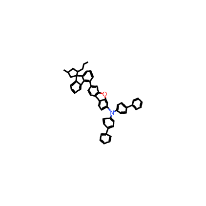 CCCC1CC(C)CC12c1ccccc1-c1c(-c3ccc4c(c3)oc3cc(N(c5ccc(-c6ccccc6)cc5)c5ccc(-c6ccccc6)cc5)ccc34)cccc12